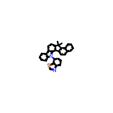 CC1(C)c2ccc3c4ccccc4n(-c4cccc5ncsc45)c3c2-c2ccc3ccccc3c21